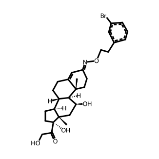 C[C@]12CC/C(=N\OCCc3cccc(Br)c3)C=C1CC[C@@H]1[C@@H]2[C@@H](O)C[C@@]2(C)[C@H]1CC[C@]2(O)C(=O)CO